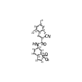 Cc1cc(C)c(C=C(C#N)C(=O)Nc2ccc3c(c2)S(=O)(=O)C=C3)c(C)c1